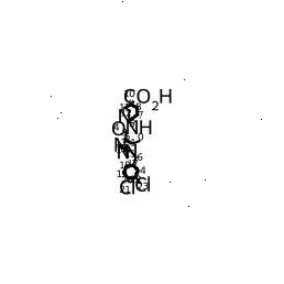 Cc1c(C(=O)Nc2ccc(C(=O)O)cn2)nnn1Cc1ccc(Cl)c(Cl)c1